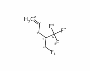 C=CCC(CF)C(F)(F)F